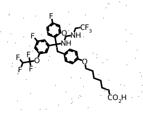 O=C(O)CCCCCCOc1ccc(CC(NC(=O)NCC(F)(F)F)(c2ccc(F)cc2)c2cc(F)cc(OC(F)(F)C(F)F)c2)cc1